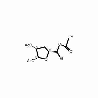 CCC(OC(=O)C(C)C)[C@@H]1C[C@@H](OC(C)=O)[C@@H](OC(C)=O)O1